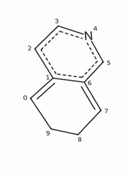 C1=c2ccncc2=CCC1